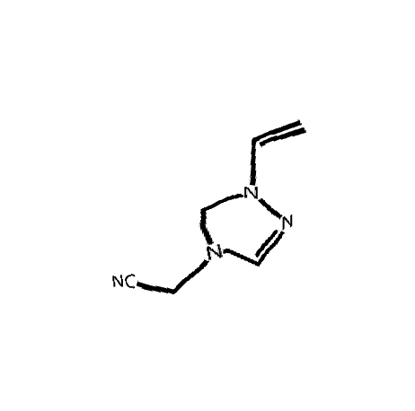 C=CN1CN(CC#N)C=N1